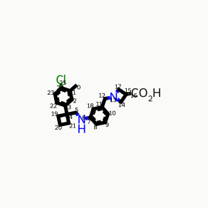 Cc1cc(C2(CNc3cccc(CN4CC(C(=O)O)C4)c3)CCC2)ccc1Cl